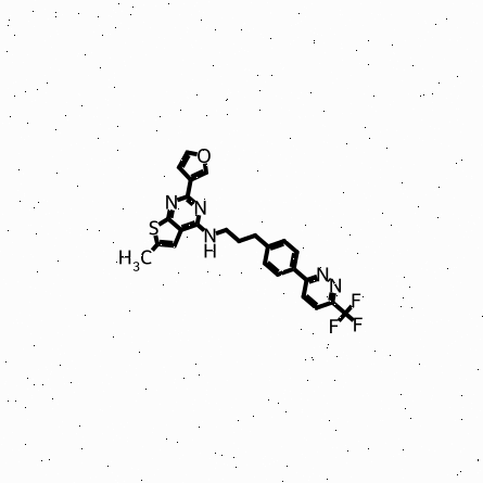 Cc1cc2c(NCCCc3ccc(-c4ccc(C(F)(F)F)nn4)cc3)nc(-c3ccoc3)nc2s1